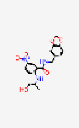 CC(CO)Nc1ccc([N+](=O)[O-])cc1C(=O)NCc1ccc2c(c1)OCO2